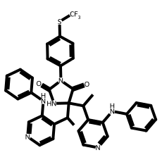 CC(c1ccncc1Nc1ccccc1)C1(C(C)c2ccncc2Nc2ccccc2)NC(=O)N(c2ccc(SC(F)(F)F)cc2)C1=O